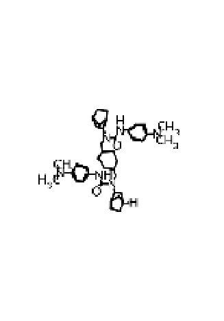 CN(C)c1ccc(NC(=O)N(CC2CCC(CN(C(=O)Nc3ccc(N(C)C)cc3)[C@H]3C[C@@H]4CCC3C4)CC2)C2CC3CCC2C3)cc1